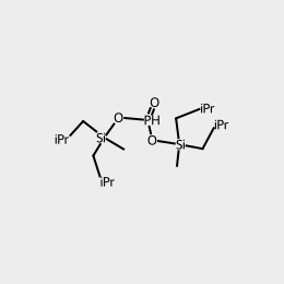 CC(C)C[Si](C)(CC(C)C)O[PH](=O)O[Si](C)(CC(C)C)CC(C)C